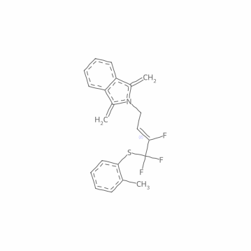 C=c1c2ccccc2c(=C)n1C/C=C(\F)C(F)(F)Sc1ccccc1C